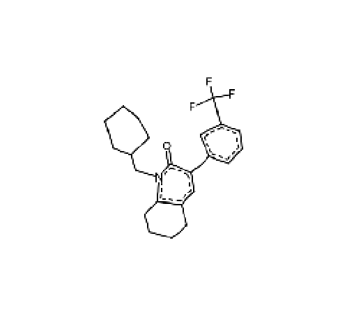 O=c1c(-c2cccc(C(F)(F)F)c2)cc2c(n1CC1CCCCC1)CCCC2